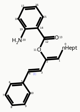 CCCCCCCC=C(/C=C/c1ccccc1)OC(=O)c1ccccc1N